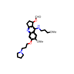 COCCCNc1c2c(nc3cc(OCCCN4CCCC4)c(OC)cc13)CCC2OC=O